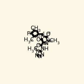 Cc1cc(Cn2c(=O)c(C(=O)Nc3nnnn3C)nn(C)c2=O)cc(C)c1F